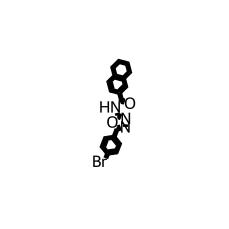 O=C(Nc1nnc(-c2ccc(Br)cc2)o1)c1ccc2c(c1)CCCC2